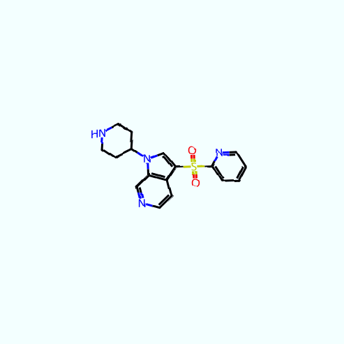 O=S(=O)(c1ccccn1)c1cn(C2CCNCC2)c2cnccc12